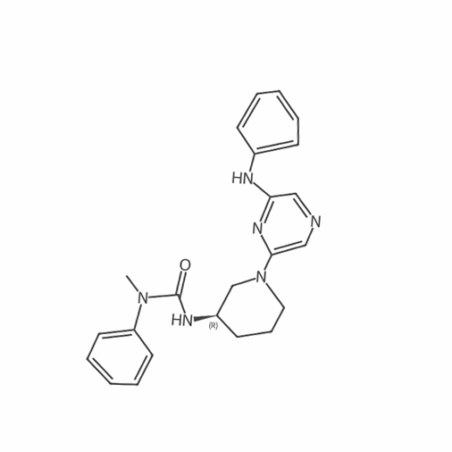 CN(C(=O)N[C@@H]1CCCN(c2cncc(Nc3ccccc3)n2)C1)c1ccccc1